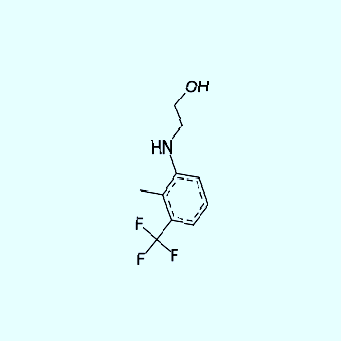 Cc1c(NCCO)cccc1C(F)(F)F